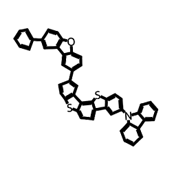 c1ccc(-c2ccc3oc4ccc(-c5ccc6sc7ccc8c9cc(-n%10c%11ccccc%11c%11ccccc%11%10)ccc9sc8c7c6c5)cc4c3c2)cc1